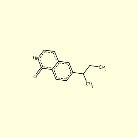 CCC(C)c1ccc2c(=O)[nH]ccc2c1